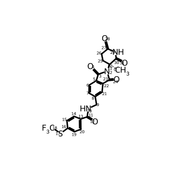 C[C@]1(N2C(=O)c3ccc(CNC(=O)c4ccc(SC(F)(F)F)cc4)cc3C2=O)CCC(=O)NC1=O